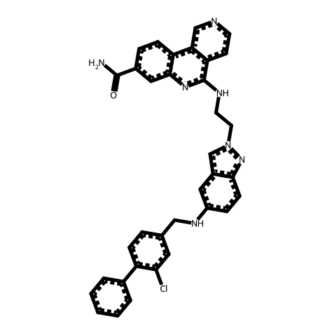 NC(=O)c1ccc2c(c1)nc(NCCn1cc3cc(NCc4ccc(-c5ccccc5)c(Cl)c4)ccc3n1)c1ccncc12